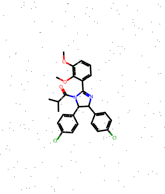 COc1cccc(C2=NC(c3ccc(Cl)cc3)C(c3ccc(Cl)cc3)N2C(=O)C(C)C)c1OC